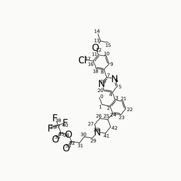 CCc1c(-c2cnc(-c3ccc(OC(C)C)c(Cl)c3)nc2)cccc1C1CCN(CCCC(=O)OC(=O)C(F)(F)F)CC1